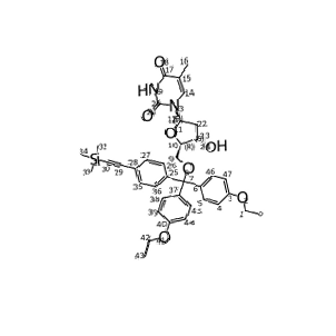 CCOc1ccc(C(OC[C@H]2O[C@@H](n3cc(C)c(=O)[nH]c3=O)C[C@@H]2O)(c2ccc(C#C[Si](C)(C)C)cc2)c2ccc(OCC)cc2)cc1